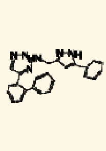 c1ccc(-c2cc(CNc3nncc(-c4ccccc4-c4ccccc4)n3)n[nH]2)cc1